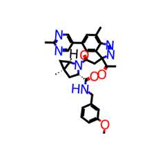 COc1cccc(CNC(=O)[C@@H]2C[C@@]3(C)C[C@H]3N2C(=O)CC2(C(C)=O)N=Nc3c(C)cc(-c4cnc(C)nc4)cc32)c1